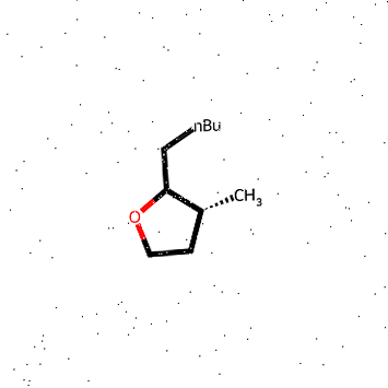 CCCCCC1OCC[C@H]1C